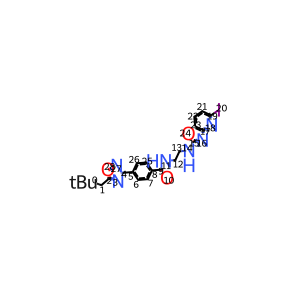 CC(C)(C)Cc1nc(-c2ccc(C(=O)NCCNc3nc4nc(I)ccc4o3)cc2)no1